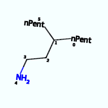 CCCCCC(CCN)CCCCC